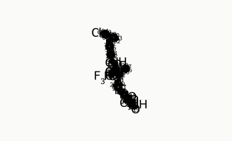 CC1CN(Cc2cc3c(cc2F)C(=O)N(C2CCC(=O)NC2=O)C3=O)CC(C)N1CC[C@H](CSc1ccccc1)Nc1ccc(S(=O)(=O)NC(=O)c2ccc(N3CCN(CC4=C(c5ccc(Cl)cc5)CCC(C)(C)C4)CC3)cc2)cc1S(=O)(=O)C(F)(F)F